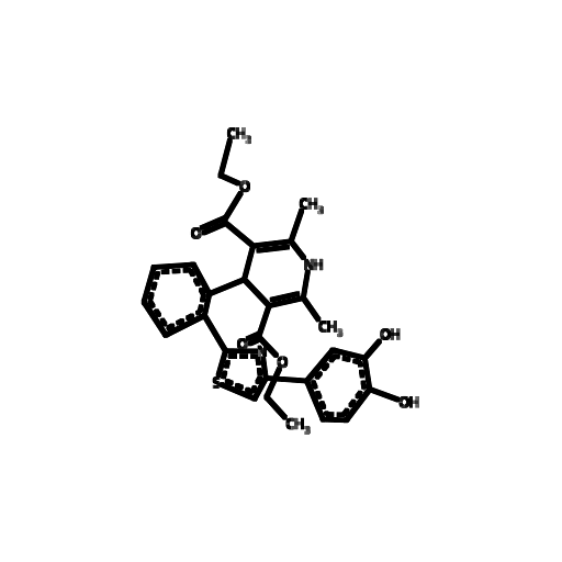 CCOC(=O)C1=C(C)NC(C)=C(C(=O)OCC)C1c1ccccc1-c1nc(-c2ccc(O)c(O)c2)cs1